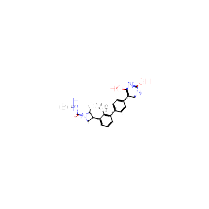 COC1C(c2cccc(-c3ccc(-c4cnc(O)nc4O)cc3)c2C(F)(F)F)CN1C(=O)NC(C)(C)C